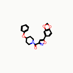 O=C(c1cc(-c2ccc3c(c2)OCO3)on1)N1CCC(Oc2ccccc2)CC1